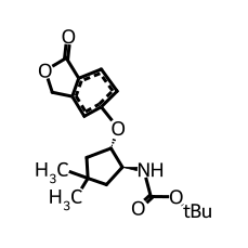 CC1(C)C[C@H](NC(=O)OC(C)(C)C)[C@@H](Oc2ccc3c(c2)COC3=O)C1